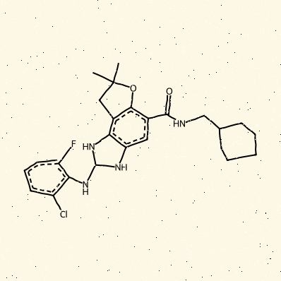 CC1(C)Cc2c3c(cc(C(=O)NCC4CCCCC4)c2O1)NC(Nc1c(F)cccc1Cl)N3